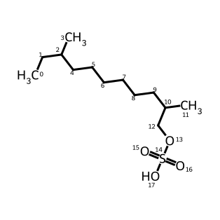 CCC(C)CCCCCCC(C)COS(=O)(=O)O